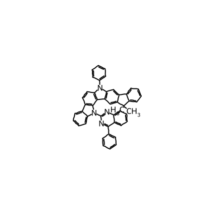 CC1(C)c2ccccc2-c2cc3c(cc21)c1c(ccc2c4ccccc4n(-c4nc(-c5ccccc5)c5ccccc5n4)c21)n3-c1ccccc1